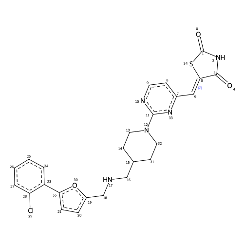 O=C1NC(=O)/C(=C/c2ccnc(N3CCC(CNCc4ccc(-c5ccccc5Cl)o4)CC3)n2)S1